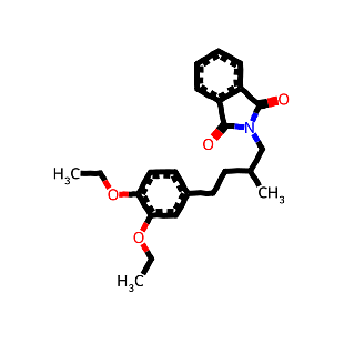 CCOc1ccc(CCC(C)CN2C(=O)c3ccccc3C2=O)cc1OCC